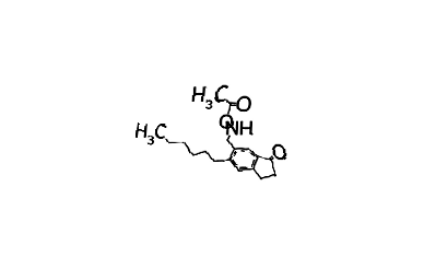 CCCCCCc1cc2c(cc1CNOC(C)=O)C(=O)CC2